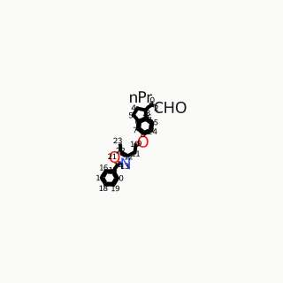 CCCC(C=O)C1CCc2cc(OCCc3nc(-c4ccccc4)oc3C)ccc21